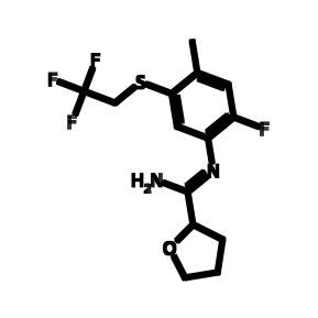 Cc1cc(F)c(/N=C(\N)C2CCCO2)cc1SCC(F)(F)F